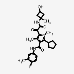 Cc1cc(NC(=O)c2c(C)c(C(=O)C(=O)NC3(C)CC(O)C3)n(C)c2C2CCCC2)ccc1F